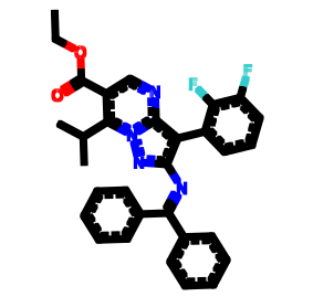 CCOC(=O)c1cnc2c(-c3cccc(F)c3F)c(N=C(c3ccccc3)c3ccccc3)nn2c1C(C)C